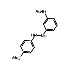 CSc1ccc(NNc2cccc(NC(C)=O)c2)cc1